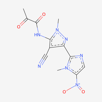 CC(=O)C(=O)Nc1c(C#N)c(-c2ncc([N+](=O)[O-])n2C)nn1C